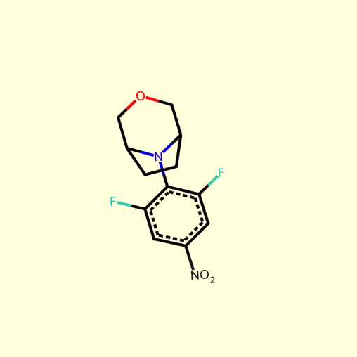 O=[N+]([O-])c1cc(F)c(N2C3CCC2COC3)c(F)c1